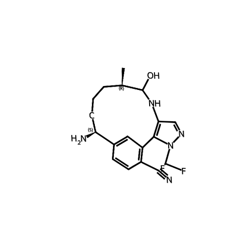 C[C@@H]1CCC[C@H](N)c2ccc(C#N)c(c2)-c2c(cnn2C(F)F)NC1O